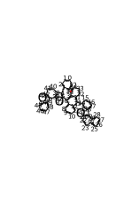 c1ccc(-c2c(-c3c4ccccc4c(-c4cccc5c4oc4ccc6ccccc6c45)c4ccccc34)oc3c2ccc2oc4ccccc4c23)cc1